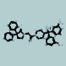 O=C(CN1CCC(c2ccccc2)(c2ccccc2)C1=O)N1CCC(C(O)(c2cccc(C(F)(F)F)c2)c2cccc(C(F)(F)F)c2)CC1